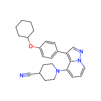 N#CC1CCN(c2cccn3ncc(-c4ccc(OC5CCCCC5)cc4)c23)CC1